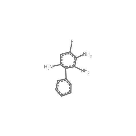 Nc1cc(F)c(N)c(N)c1-c1ccccc1